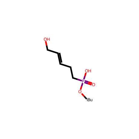 CCC(C)OP(=O)(O)CCC=CCO